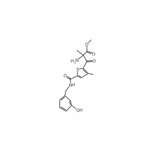 COC(=O)C(C)(N)C(=O)c1sc(C(=O)NCc2cccc(O)c2)cc1C